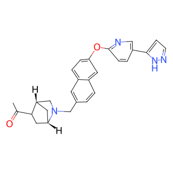 CC(=O)C1C[C@@H]2C[C@H]1CN2Cc1ccc2cc(Oc3ccc(-c4ccn[nH]4)cn3)ccc2c1